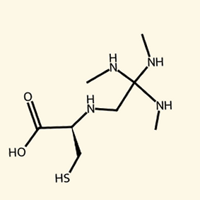 CNC(CN[C@@H](CS)C(=O)O)(NC)NC